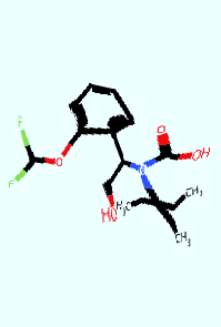 CC(C)(C)N(C(=O)O)C(CO)c1ccccc1OC(F)F